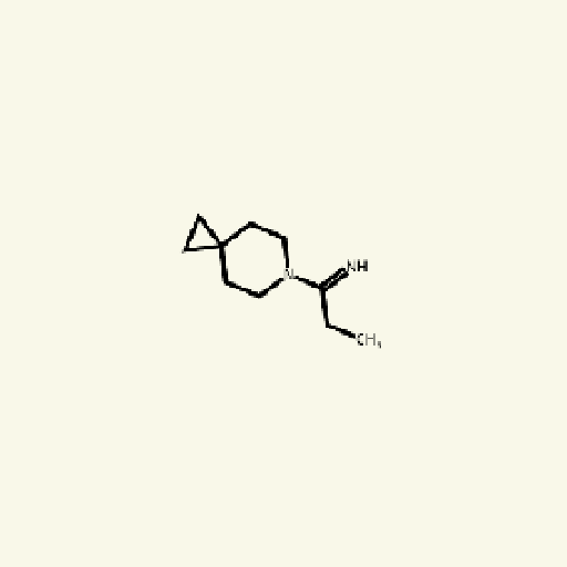 CCC(=N)N1CCC2(CC1)CC2